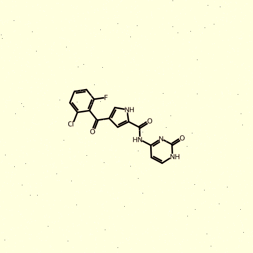 O=C(Nc1cc[nH]c(=O)n1)c1cc(C(=O)c2c(F)cccc2Cl)c[nH]1